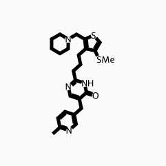 CSc1csc(CN2CCCCC2)c1CCCc1ncc(Cc2ccc(C)nc2)c(=O)[nH]1